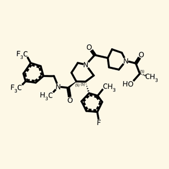 Cc1cc(F)ccc1[C@H]1CN(C(=O)C2CCN(C(=O)[C@H](C)O)CC2)CC[C@@H]1C(=O)N(C)Cc1cc(C(F)(F)F)cc(C(F)(F)F)c1